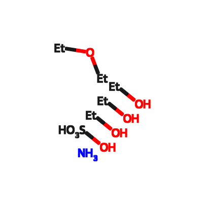 CCO.CCO.CCO.CCOCC.N.O=S(=O)(O)O